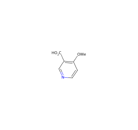 COc1ccncc1C(=O)O